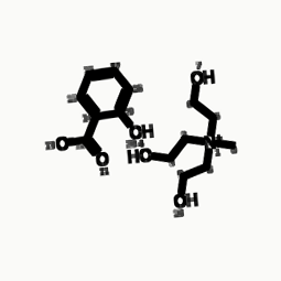 C[N+](CCO)(CCO)CCO.O=C([O-])c1ccccc1O